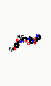 CC(CCNC(=O)c1ccc(OC(F)(F)F)cc1)CC(=O)N1CCC2C1C(=O)CN2S(=O)(=O)Cc1cccnc1